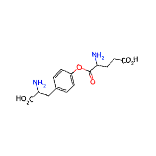 NC(Cc1ccc(OC(=O)C(N)CCC(=O)O)cc1)C(=O)O